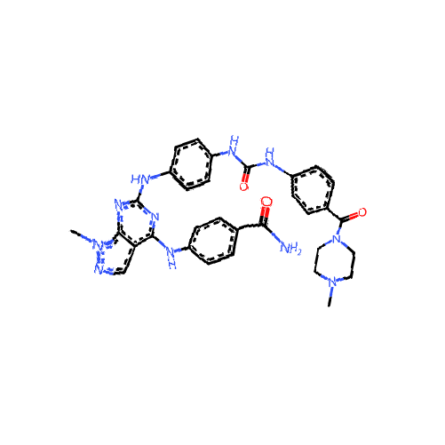 CN1CCN(C(=O)c2ccc(NC(=O)Nc3ccc(Nc4nc(Nc5ccc(C(N)=O)cc5)c5cnn(C)c5n4)cc3)cc2)CC1